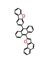 c1ccc2c(c1)ccc1cc(-c3c4ccccc4c(-c4ccc5c(c4)oc4ccccc45)c4ccccc34)oc12